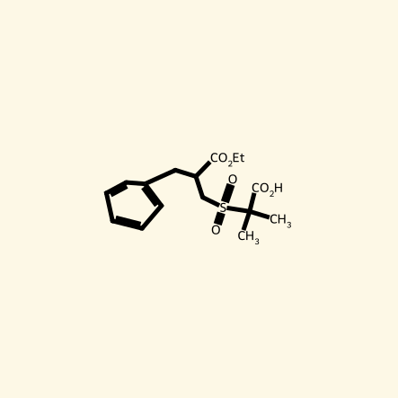 CCOC(=O)C(Cc1ccccc1)CS(=O)(=O)C(C)(C)C(=O)O